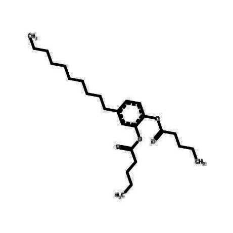 CCCCCCCCCCc1ccc(OC(=O)CCCC)c(OC(=O)CCCC)c1